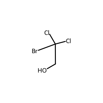 OCC(Cl)(Cl)Br